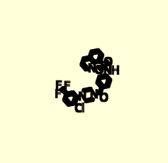 O=C(c1ccc(NS(=O)(=O)c2cccc3cccnc23)cc1)N1CCN(c2cc(C(F)(F)F)ccc2Cl)CC1